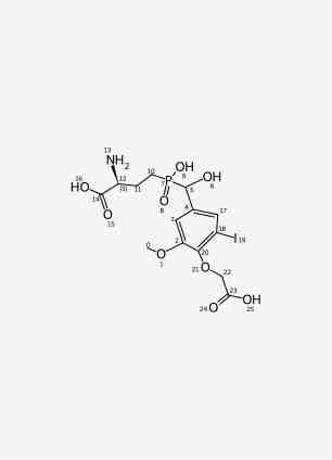 COc1cc(C(O)P(=O)(O)CC[C@H](N)C(=O)O)cc(I)c1OCC(=O)O